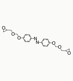 c1cc(OCOCC2CO2)ccc1N=Nc1ccc(OCOCC2CO2)cc1